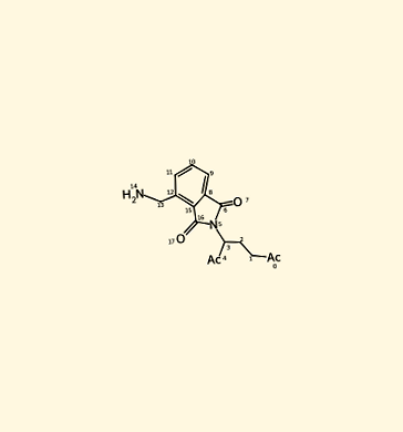 CC(=O)CCC(C(C)=O)N1C(=O)c2cccc(CN)c2C1=O